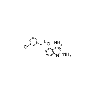 CC(Cc1cccc(Cl)c1)Oc1cccc2nc(N)nc(N)c12